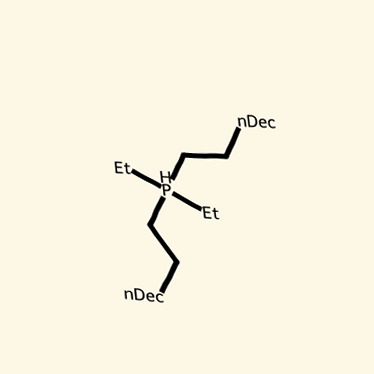 CCCCCCCCCCCC[PH](CC)(CC)CCCCCCCCCCCC